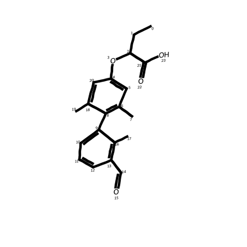 CCC(Oc1cc(C)c(-c2cccc(C=O)c2C)c(C)c1)C(=O)O